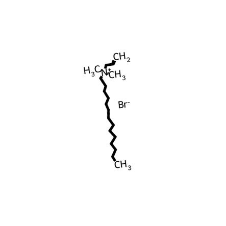 C=CC[N+](C)(C)CCCCCCCCCCCCCC.[Br-]